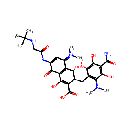 CN(C)c1c(O)c(C(N)=O)c(O)c(O)c1C[C@H]1C(C(=O)O)=C(O)C2=C(C(=[N+](C)C)C=C(NC(=O)CNC(C)(C)C)C2=O)[C@@H]1O